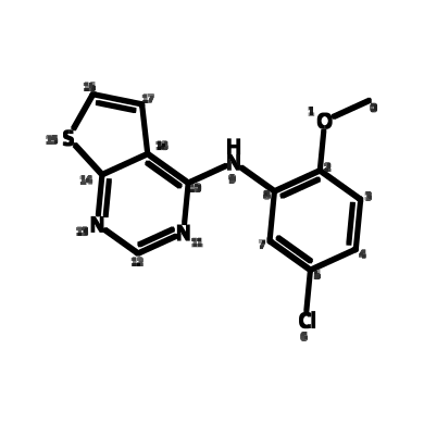 COc1ccc(Cl)cc1Nc1ncnc2sccc12